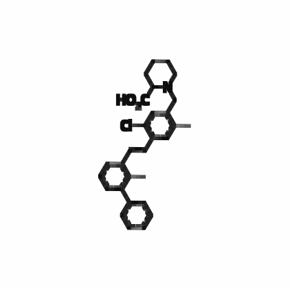 Cc1cc(/C=C/c2cccc(-c3ccccc3)c2C)c(Cl)cc1CN1CCCCC1C(=O)O